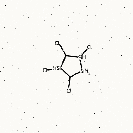 ClC1[SiH2][SiH](Cl)C(Cl)[SiH]1Cl